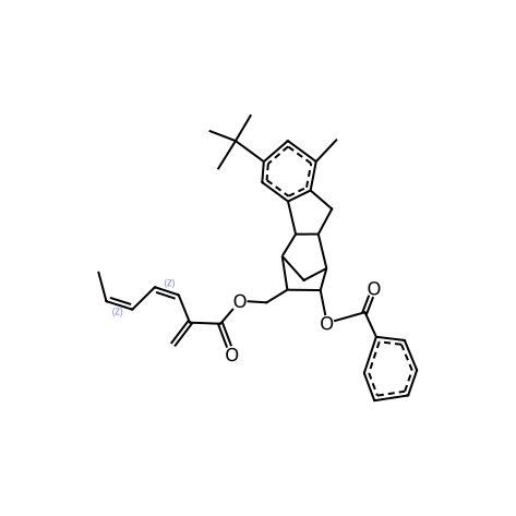 C=C(/C=C\C=C/C)C(=O)OCC1C2CC(C3Cc4c(C)cc(C(C)(C)C)cc4C32)C1OC(=O)c1ccccc1